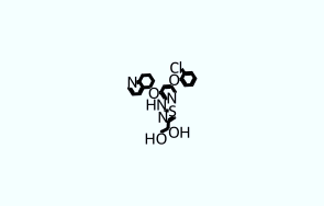 OCC(O)c1csc(Nc2ncc(Oc3ccccc3Cl)cc2OC2CCCc3ncccc32)n1